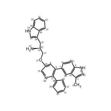 Cc1n[nH]c2ncc(-c3cc(OC[C@@H](N)Cc4c[nH]c5ccccc45)cnc3-c3ccccc3)cc12